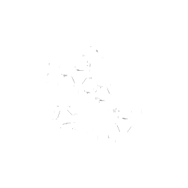 Cc1ccc(CO)cc1NCc1ccnc(Nc2cc(N3CCOCC3)cc(N3CCOCC3)c2)n1.Cc1ccc(S(=O)(=O)O)cc1